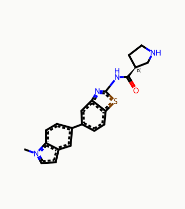 Cn1ccc2cc(-c3ccc4sc(NC(=O)[C@H]5CCNC5)nc4c3)ccc21